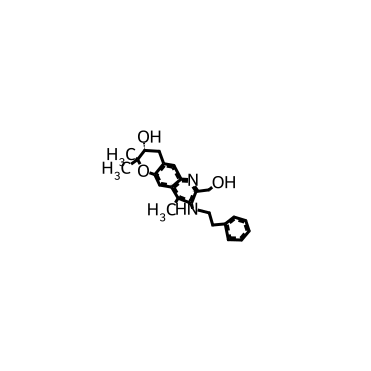 Cc1c(NCCc2ccccc2)c(CO)nc2cc3c(cc12)OC(C)(C)[C@H](O)C3